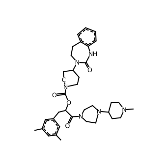 Cc1cc(C)cc(CC(OC(=O)N2CCC(N3CCc4ccccc4NC3=O)CC2)C(=O)N2CCN(C3CCN(C)CC3)CC2)c1